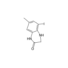 Cc1cc(I)c2c(c1)NC(=O)CN2